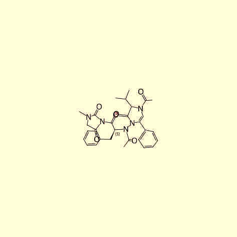 CC(=O)N1C=C(c2ccccc2)N(N(C(C)=O)[C@@H](Cc2ccccc2)C(=O)N2C(=O)CN(C)C2=O)C(=O)C1C(C)C